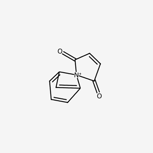 O=C1C=CC(=O)[N+]12C1=CC=CC2=C1